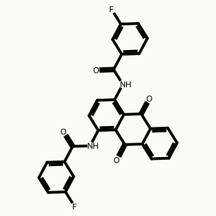 O=C(Nc1ccc(NC(=O)c2cccc(F)c2)c2c1C(=O)c1ccccc1C2=O)c1cccc(F)c1